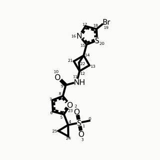 CS(=O)(=O)C1(c2ccc(C(=O)NC34CC(c5ncc(Br)s5)(C3)C4)o2)CC1